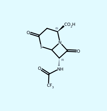 O=C1C[C@@H](C(=O)O)N2C(=O)[C@H](NC(=O)C(F)(F)F)C2S1